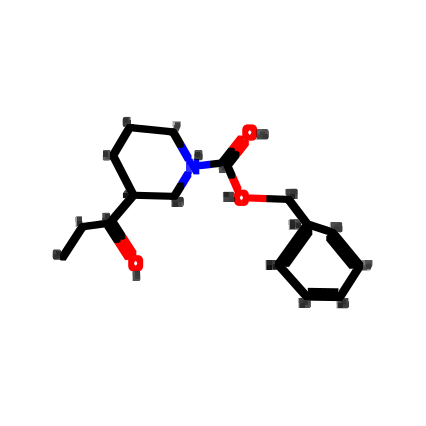 CCC(=O)C1CCCN(C(=O)OCc2ccccc2)C1